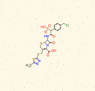 Cc1nnc(SCC2=C(C(=O)O)N3C(=O)C(NC(=O)C(c4ccc(CCl)cc4)S(=O)(=O)O)C3SC2)s1